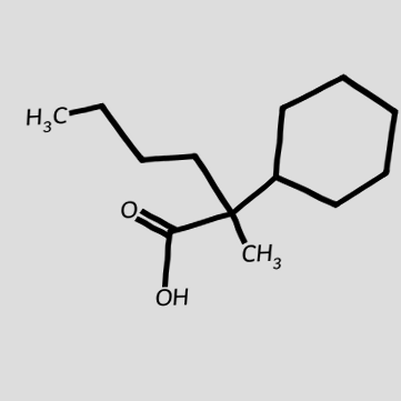 CCCCC(C)(C(=O)O)C1CCCCC1